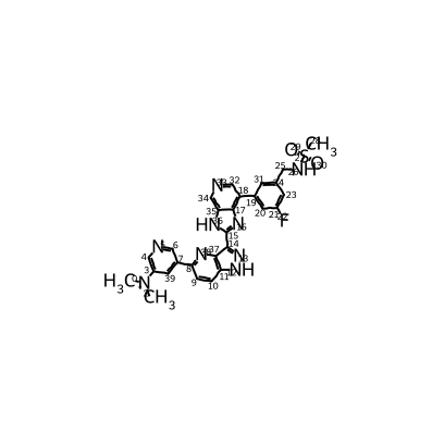 CN(C)c1cncc(-c2ccc3[nH]nc(-c4nc5c(-c6cc(F)cc(CNS(C)(=O)=O)c6)cncc5[nH]4)c3n2)c1